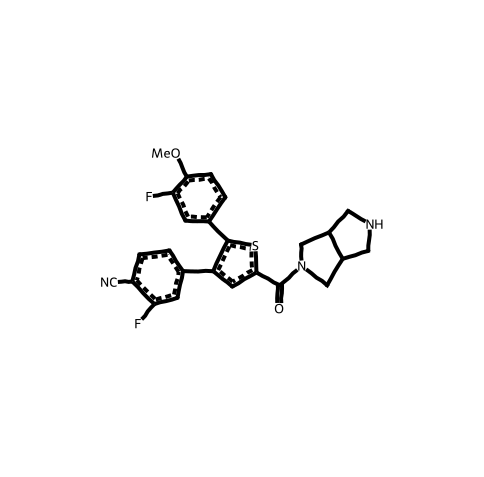 COc1ccc(-c2sc(C(=O)N3CC4CNCC4C3)cc2-c2ccc(C#N)c(F)c2)cc1F